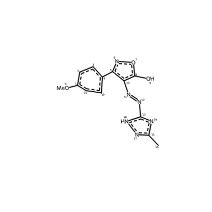 COc1ccc(-c2noc(O)c2N=Nc2nc(C)n[nH]2)cc1